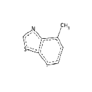 Cc1cc[c]c2scnc12